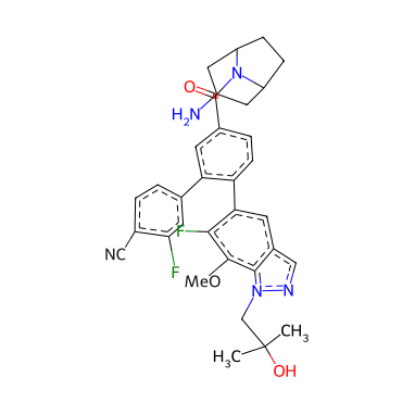 COc1c(F)c(-c2ccc(C(=O)N3C4CCC3CC(N)C4)cc2-c2ccc(C#N)c(F)c2)cc2cnn(CC(C)(C)O)c12